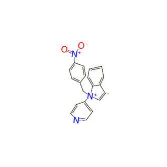 O=[N+]([O-])c1ccc(C[N+]2(c3ccncc3)C=[C]c3ccccc32)cc1